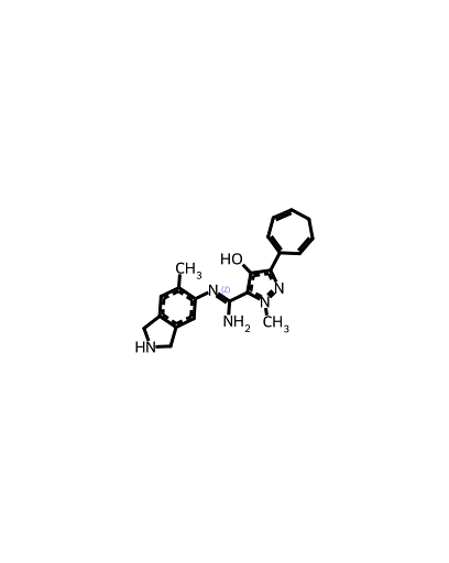 Cc1cc2c(cc1/N=C(\N)c1c(O)c(C3=CC=CCC=C3)nn1C)CNC2